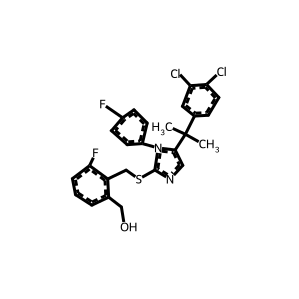 CC(C)(c1ccc(Cl)c(Cl)c1)c1cnc(SCc2c(F)cccc2CO)n1-c1ccc(F)cc1